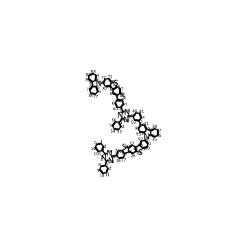 c1ccc(-c2nc(-c3ccccc3)nc(-c3ccc4c(c3)sc3cc5c(cc34)sc3ccc(-n4c6ccccc6c6cc(-c7cccc(-c8nc(-c9ccccc9)nc(-c9ccc%10c(c9)sc9cc%11sc%12ccc(-n%13c%14ccccc%14c%14ccccc%14%13)cc%12c%11cc9%10)n8)c7)ccc64)cc35)n2)cc1